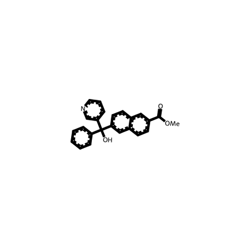 COC(=O)c1ccc2cc(C(O)(c3ccccc3)c3cccnc3)ccc2c1